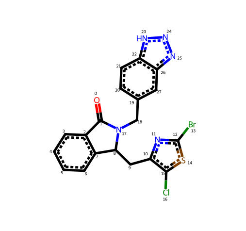 O=C1c2ccccc2C(Cc2nc(Br)sc2Cl)N1Cc1ccc2[nH]nnc2c1